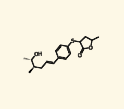 CC1CC(Sc2ccc(/C=C/C[C@@H](C)[C@H](C)O)cc2)C(=O)O1